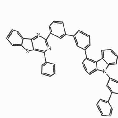 c1ccc(-c2cccc(-n3c4ccccc4c4c(-c5cccc(-c6cccc(-c7nc(-c8ccccc8)c8sc9ccccc9c8n7)c6)c5)cccc43)c2)cc1